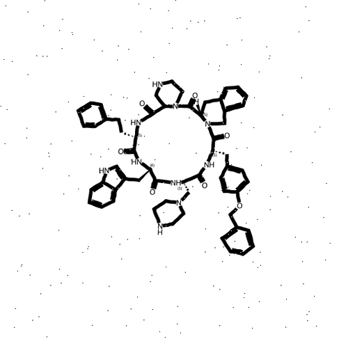 O=C1N[C@@H](CCc2ccccc2)C(=O)N[C@H](Cc2c[nH]c3ccccc23)C(=O)N[C@@H](CN2CCNCC2)C(=O)N[C@@H](Cc2ccc(OCc3ccccc3)cc2)C(=O)N2Cc3ccccc3C[C@H]2C(=O)N2CCNCC12